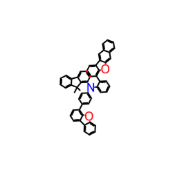 CC1(C)c2ccccc2-c2cccc(N(c3ccc(-c4cccc5c4oc4ccccc45)cc3)c3ccccc3-c3cccc4c3oc3cc5ccccc5cc34)c21